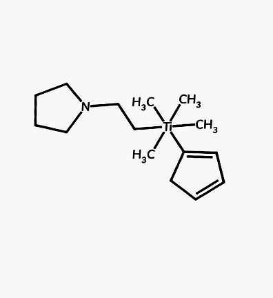 [CH3][Ti]([CH3])([CH3])([CH3])([CH2]CN1CCCC1)[C]1=CC=CC1